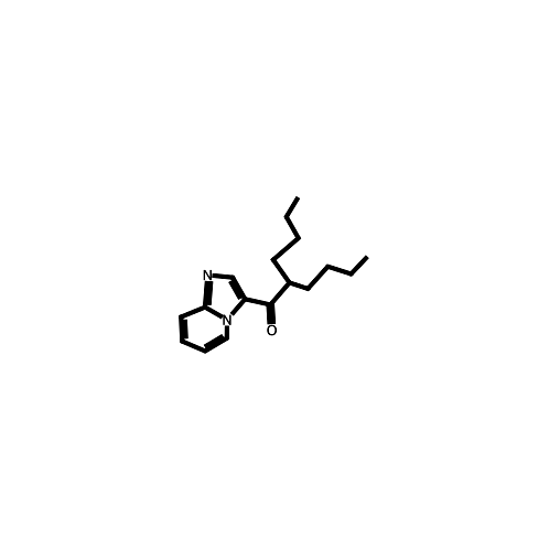 CCCCC(CCCC)C(=O)c1cnc2ccccn12